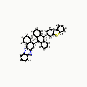 c1ccc2nc3c(cc(-c4c5ccccc5c(-c5ccc6c(c5)sc5ccccc56)c5ccccc45)c4ccccc43)nc2c1